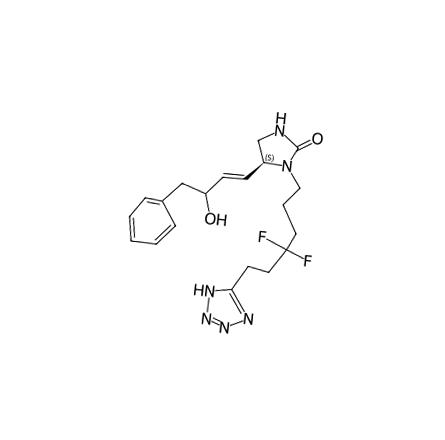 O=C1NC[C@H](C=CC(O)Cc2ccccc2)N1CCCC(F)(F)CCc1nnn[nH]1